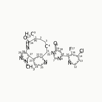 C[C@@H]1CCC[C@H](n2cnc(-c3nccc(Cl)c3F)cc2=O)c2cc(ccn2)-c2c(cnn2C)NC1=O